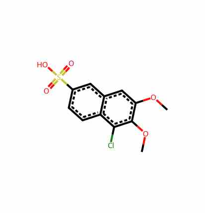 COc1cc2cc(S(=O)(=O)O)ccc2c(Cl)c1OC